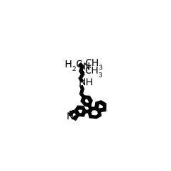 C=C(/C=C/CNCCCc1ccc(C2=C(c3ccc4c(c3)C=NC4)CCCc3ccccc32)cc1)N(C)C